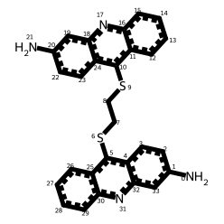 Nc1ccc2c(SCCSc3c4ccccc4nc4cc(N)ccc34)c3ccccc3nc2c1